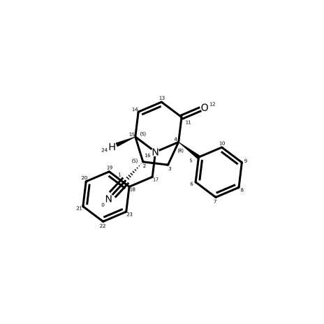 N#C[C@H]1C[C@@]2(c3ccccc3)C(=O)C=C[C@@H]1N2Cc1ccccc1